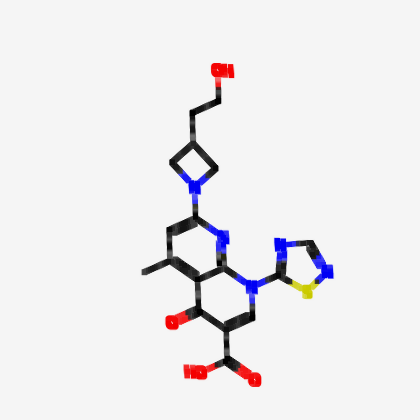 Cc1cc(N2CC(CCO)C2)nc2c1c(=O)c(C(=O)O)cn2-c1ncns1